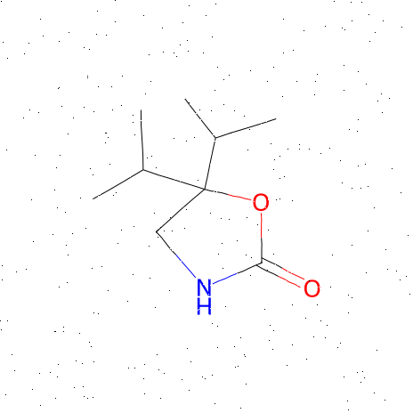 CC(C)C1(C(C)C)CNC(=O)O1